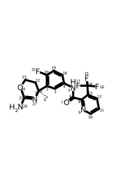 C[C@@]1(c2cc(NC(=O)c3ncccc3C(F)(F)F)ccc2F)CCOC(N)=N1